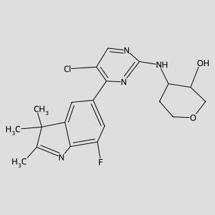 CC1=Nc2c(F)cc(-c3nc(NC4CCOCC4O)ncc3Cl)cc2C1(C)C